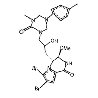 CO[C@H]1NC(=O)c2cc(Br)c(Br)n2[C@@H]1CC(O)CN1CN(c2ccc(C)cc2)CN(C)C1=O